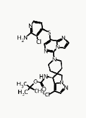 CC(C)(C)OC(=O)N[C@@H]1c2c(Cl)cnn2CC12CCN(c1ncc(Sc3ccnc(N)c3Cl)c3nccn13)CC2